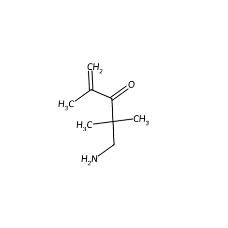 C=C(C)C(=O)C(C)(C)CN